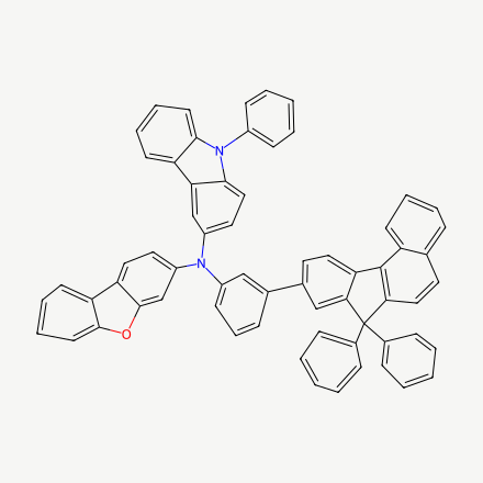 c1ccc(-n2c3ccccc3c3cc(N(c4cccc(-c5ccc6c(c5)C(c5ccccc5)(c5ccccc5)c5ccc7ccccc7c5-6)c4)c4ccc5c(c4)oc4ccccc45)ccc32)cc1